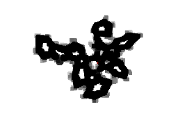 c1ccc(-c2nc(-n3c4ccc5c6ccccc6oc5c4c4ccc5c6ccccc6n(-c6cccc7ccccc67)c5c43)nc3ccc4ccccc4c23)cc1